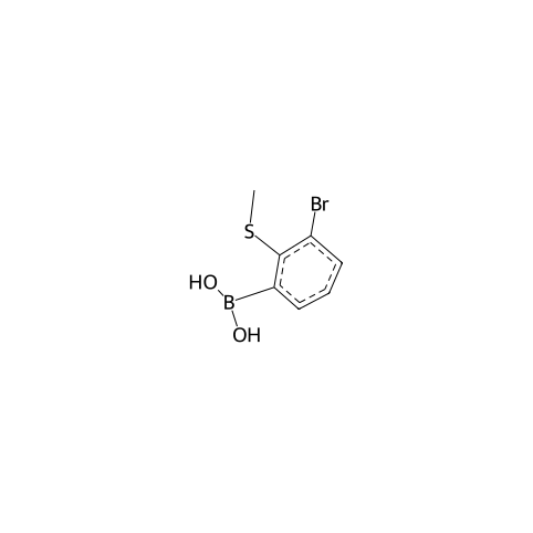 CSc1c(Br)cccc1B(O)O